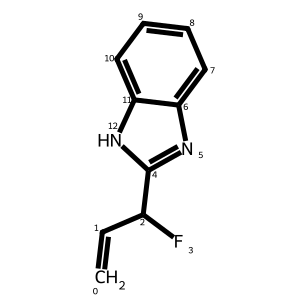 C=CC(F)c1nc2ccccc2[nH]1